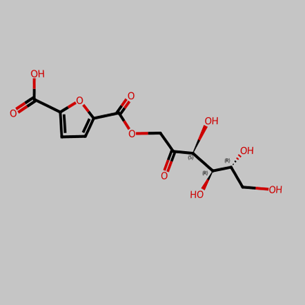 O=C(O)c1ccc(C(=O)OCC(=O)[C@@H](O)[C@H](O)[C@H](O)CO)o1